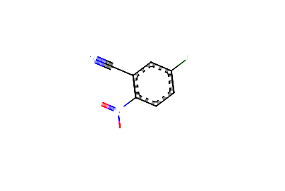 N#Cc1cc(Br)ccc1[N+](=O)[O-]